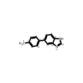 Cc1ccc(-c2ccc3[nH]cnc3c2)cc1